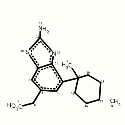 C.CC1(c2cc(CC(=O)O)cc3sc(N)nc23)CCCCC1